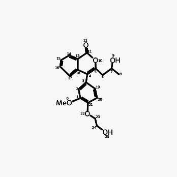 COc1cc(-c2c(CC(C)O)oc(=O)c3ccccc23)ccc1OCCO